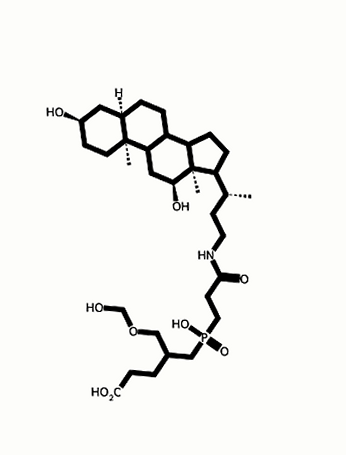 C[C@H](CCNC(=O)CCP(=O)(O)CC(CCC(=O)O)COCO)C1CCC2C3CC[C@@H]4C[C@H](O)CC[C@]4(C)C3C[C@H](O)[C@@]21C